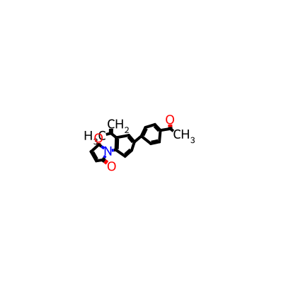 C=C(C)c1cc(-c2ccc(C(C)=O)cc2)ccc1N1C(=O)C=CC1=O